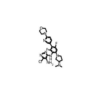 CN(C)[C@@H]1CCN(c2cc(F)c(-c3ccc(N4CCOCC4)nc3)c(F)c2Nc2ncnc(Cl)c2N)C1